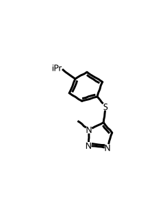 CC(C)c1ccc(Sc2cnnn2C)cc1